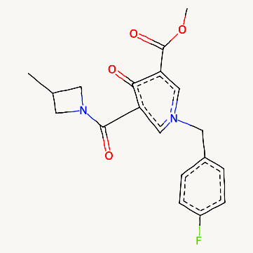 COC(=O)c1cn(Cc2ccc(F)cc2)cc(C(=O)N2CC(C)C2)c1=O